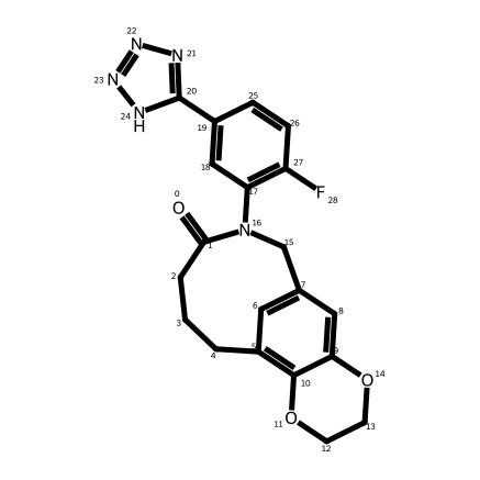 O=C1CCCc2cc(cc3c2OCCO3)CN1c1cc(-c2nnn[nH]2)ccc1F